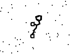 ClCCCCC(Cl)Cc1ccccc1